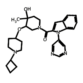 CC1(O)CCN(C(=O)c2cc3ccccc3n2-c2cncnc2)CC1OC1CCN(C2CCC2)CC1